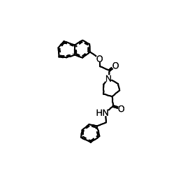 O=C(NCc1ccccc1)C1CCN(C(=O)COc2ccc3ccccc3c2)CC1